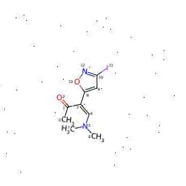 CC(=O)/C(=C\N(C)C)c1cc(I)no1